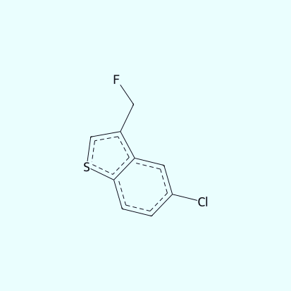 FCc1csc2ccc(Cl)cc12